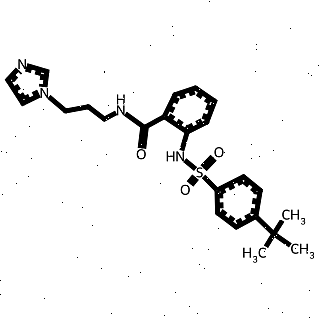 CC(C)(C)c1ccc(S(=O)(=O)Nc2ccccc2C(=O)NCCCn2ccnc2)cc1